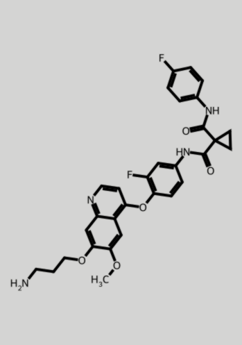 COc1cc2c(Oc3ccc(NC(=O)C4(C(=O)Nc5ccc(F)cc5)CC4)cc3F)ccnc2cc1OCCCN